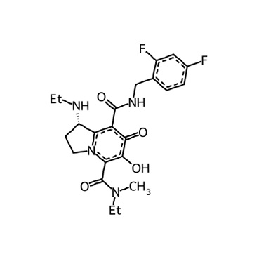 CCN[C@H]1CCn2c(C(=O)N(C)CC)c(O)c(=O)c(C(=O)NCc3ccc(F)cc3F)c21